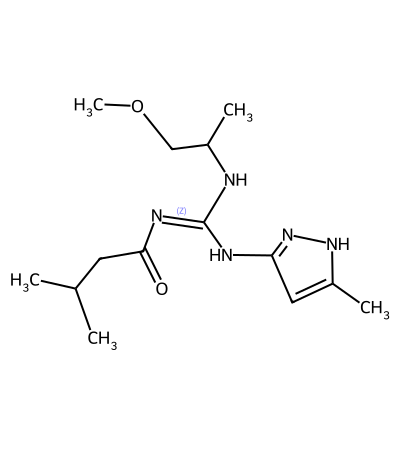 COCC(C)N/C(=N/C(=O)CC(C)C)Nc1cc(C)[nH]n1